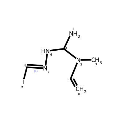 C=CN(C)C(N)N/N=C/I